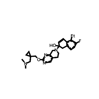 CCc1c(F)ccc2c1C=CC(O)(N1CCc3cnc(OCC4(CN(C)C)CC4)nc3C1)C2